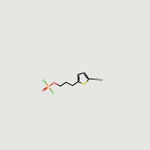 CCCCCc1ccc(CCCOP(=O)(Cl)Cl)s1